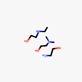 CCNCCO.CN(C)CCO.NCCO